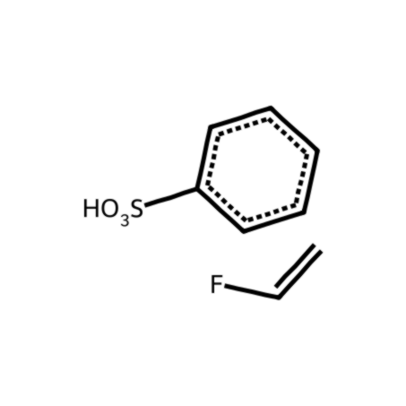 C=CF.O=S(=O)(O)c1ccccc1